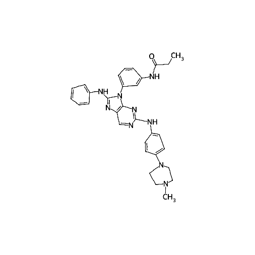 CCC(=O)Nc1cccc(-n2c(Nc3ccccc3)nc3cnc(Nc4ccc(N5CCN(C)CC5)cc4)nc32)c1